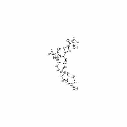 O=C(N1CC(CN2C(=O)C3(CC3)N=C2C2CCC(C3CC=C4C=C(O)CCC4C3)=CC2F)C1)C1(O)CC1